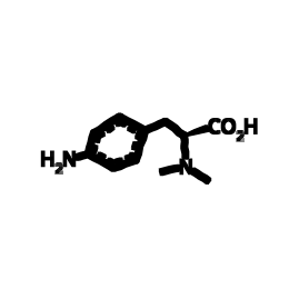 CN(C)[C@@H](Cc1ccc(N)cc1)C(=O)O